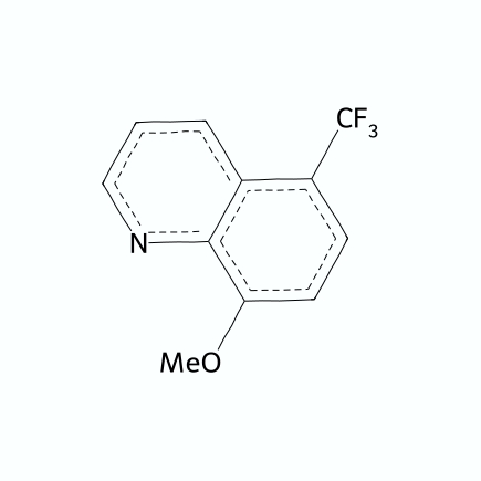 COc1ccc(C(F)(F)F)c2cccnc12